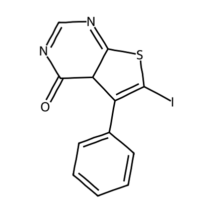 O=C1N=CN=C2SC(I)=C(c3ccccc3)C12